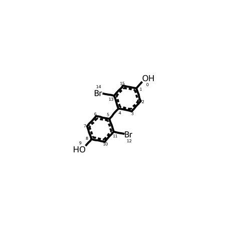 Oc1ccc(-c2ccc(O)cc2Br)c(Br)c1